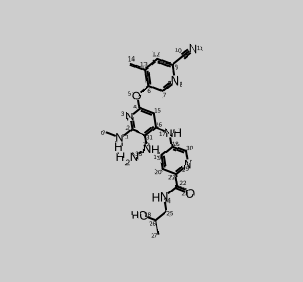 CNc1nc(Oc2cnc(C#N)cc2C)cc(Nc2ccc(C(=O)NCC(C)O)nc2)c1NN